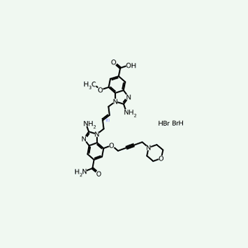 Br.Br.COc1cc(C(=O)O)cc2nc(N)n(C/C=C/Cn3c(N)nc4cc(C(N)=O)cc(OCC#CCN5CCOCC5)c43)c12